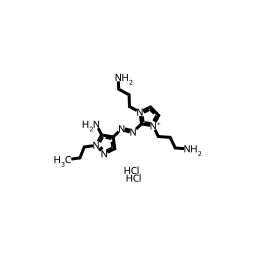 CCCn1ncc(/N=N/c2n(CCCN)cc[n+]2CCCN)c1N.Cl.Cl